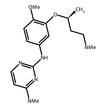 CNCC[C@H](C)Oc1cc(Nc2nccc(NC)n2)ccc1OC